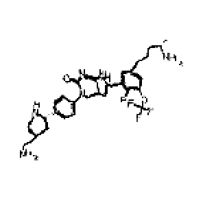 C[C@H](N)CCCc1cc(OC(F)(F)F)c(F)c(-c2cc3cn(-c4ccc([C@@H]5CC(CCN)CN5)cc4)c(=O)nc3[nH]2)c1